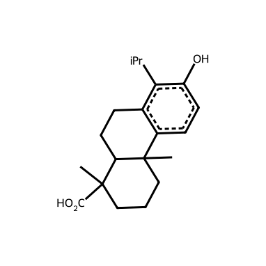 CC(C)c1c(O)ccc2c1CCC1C(C)(C(=O)O)CCCC21C